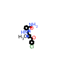 Cn1cc(C(=O)c2ccc(Cl)cc2)cc1-c1nc2c(C(N)=O)cccc2[nH]1